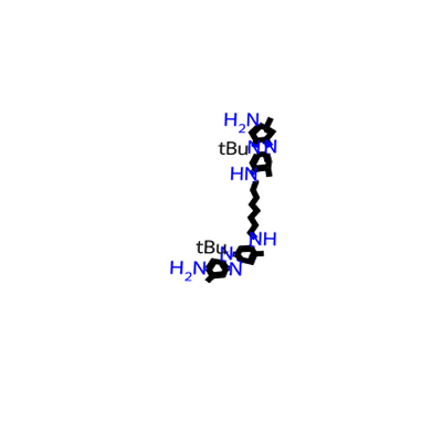 CC1=CC2=Nc3cc(C)c(N)cc3N(C(C)(C)C)C2C=C1NCCCCCCCCNc1cc2c(cc1C)nc1cc(C)c(N)cc1[n+]2C(C)(C)C